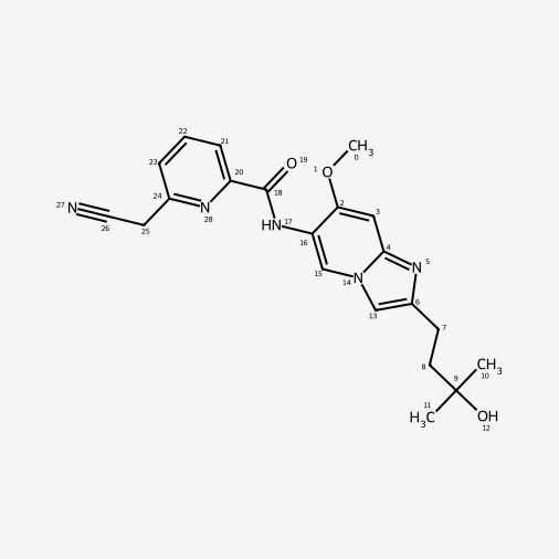 COc1cc2nc(CCC(C)(C)O)cn2cc1NC(=O)c1cccc(CC#N)n1